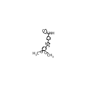 CCOc1ccc(-c2nc(-c3ccc(C(=N)N4CCOCC4)cc3)cs2)cc1OCC